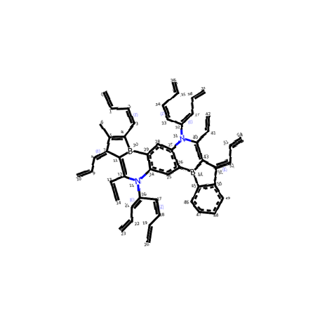 C=C/C=C\C1=C(C)C(=C/C=C)/C2=C(C=C)N(C(/C=C\C=C)=C/C=C)c3cc4c(cc3B12)N(C(/C=C\C=C)=C/C=C)C(C=C)=C1B4c2ccccc2/C1=C/C=C